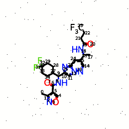 Cc1nocc1C(=O)N[C@H](c1cn2ncc(C(C)NC(=O)CCC(F)(F)F)cc2n1)C1CCC(F)(F)CC1